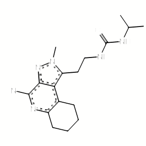 CC(C)NC(=O)NCCc1c2c3c(nc(N)c2nn1C)CCCC3